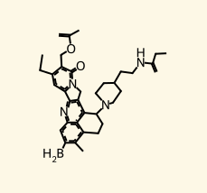 Bc1cc2nc3c(c4c2c(c1C)CCC4N1CCC(CCNC(=C)CC)CC1)Cn1c-3cc(CC)c(COC(=C)C)c1=O